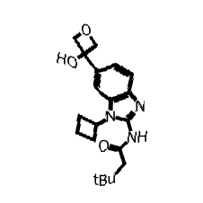 CC(C)(C)CC(=O)Nc1nc2ccc(C3(O)COC3)cc2n1C1CCC1